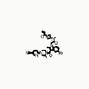 C=CC(=O)N1CC(N(C)C(=O)Cn2c(C)c(C(=O)N3CCN(c4ccc(C#N)cn4)C[C@@H]3C)c3cc(Br)ccc32)C1